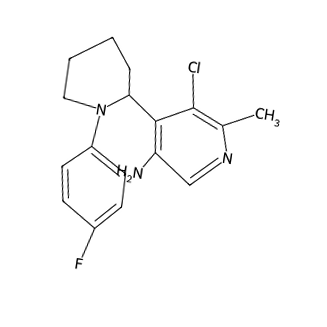 Cc1ncc(N)c(C2CCCCN2c2ccc(F)cc2)c1Cl